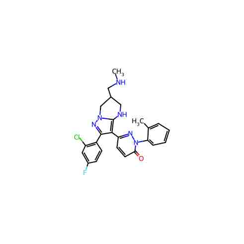 CNCC1CNc2c(-c3ccc(=O)n(-c4ccccc4C)n3)c(-c3ccc(F)cc3Cl)nn2C1